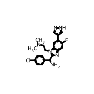 CN(C)CCn1c(C(N)c2ccc(Cl)cc2)nc2cc(F)c(-c3cn[nH]c3)cc21